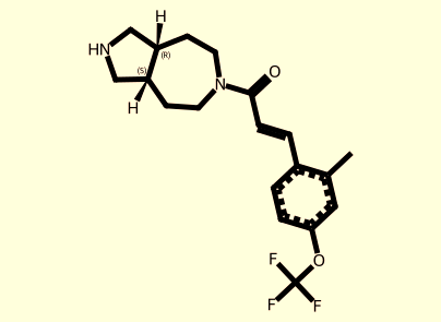 Cc1cc(OC(F)(F)F)ccc1C=CC(=O)N1CC[C@@H]2CNC[C@@H]2CC1